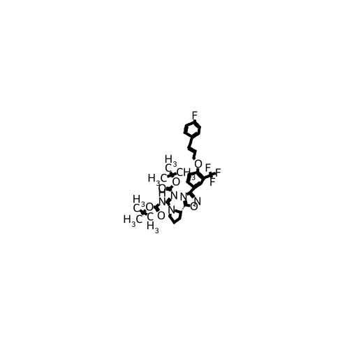 CC(C)(C)OC(=O)/N=C(\NC(=O)OC(C)(C)C)N1CCC[C@H]1c1nc(-c2ccc(OC/C=C/c3ccc(F)cc3)c(C(F)(F)F)c2)no1